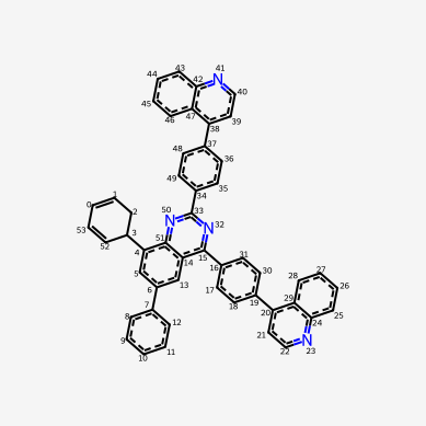 C1=CCC(c2cc(-c3ccccc3)cc3c(-c4ccc(-c5ccnc6ccccc56)cc4)nc(-c4ccc(-c5ccnc6ccccc56)cc4)nc23)C=C1